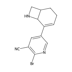 N#Cc1cc(C2=CCCC3CNC23)cnc1Br